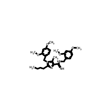 CCCCc1nc(C(=N)NCc2ccc(OC)cc2OC)c(C)n1Cc1ccc(OC)cc1OC